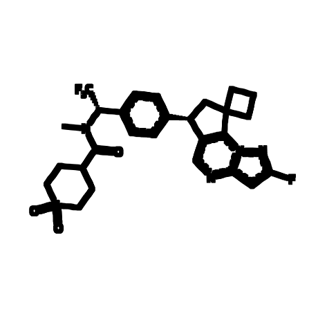 CN(C(=O)C1CCS(=O)(=O)CC1)[C@@H](c1ccc([C@@H]2CC3(CCC3)c3c2cnc2cc(F)nn32)cc1)C(F)(F)F